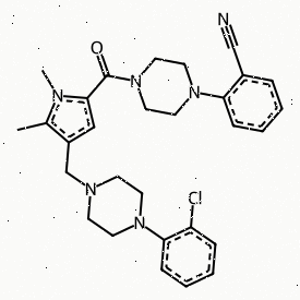 Cc1c(CN2CCN(c3ccccc3Cl)CC2)cc(C(=O)N2CCN(c3ccccc3C#N)CC2)n1C